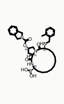 Cc1ccccc1CN[C@H]1CCCCCCCCC[C@@H](B(O)O)NC(=O)[C@@H]2C[C@@H](OC(=O)N3Cc4ccccc4C3)CN2C1=O